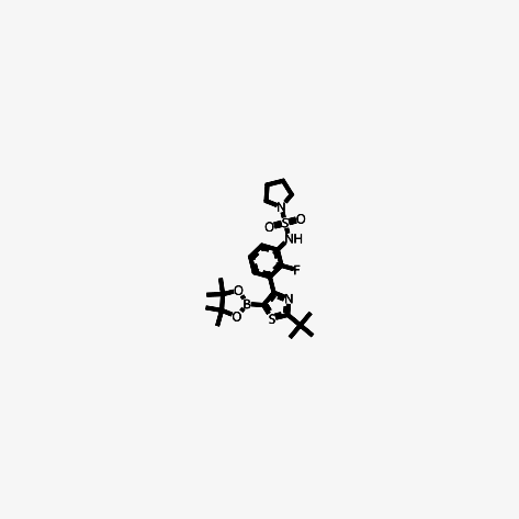 CC(C)(C)c1nc(-c2cccc(NS(=O)(=O)N3CCCC3)c2F)c(B2OC(C)(C)C(C)(C)O2)s1